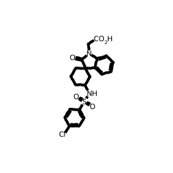 O=C(O)CN1C(=O)C2(CCCC(NS(=O)(=O)c3ccc(Cl)cc3)C2)c2ccccc21